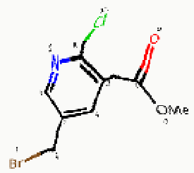 COC(=O)c1cc(CBr)cnc1Cl